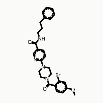 COc1ccc(C(=O)N2CCN(c3ccc(C(=O)NCCCc4ccccc4)cn3)CC2)c(Br)c1